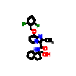 Cc1nc2c(OCc3c(F)cccc3F)cccn2c1C(=O)NC1(CO)CCc2ccccc21